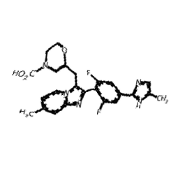 Cc1ccn2c(CC3CN(C(=O)O)CCO3)c(-c3c(F)cc(-c4ncc(C)[nH]4)cc3F)nc2c1